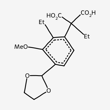 CCc1c(C(CC)(C(=O)O)C(=O)O)ccc(C2OCCO2)c1OC